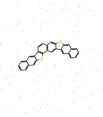 c1ccc2cc3c(cc2c1)sc1cc2ccc4c5cc6ccccc6cc5sc4c2cc13